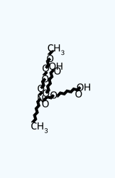 CCCCCCCCN(CCOCCOCCOCCOCCC)C(=O)C(COCCCCCCC(=O)O)OCCCCCCC(=O)O